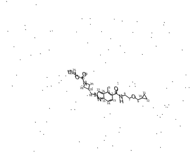 Cc1c(C(=O)NCCOCC2CC2)ccc2nn(CC3CN(C(=O)OC(C)(C)C)C3)cc12